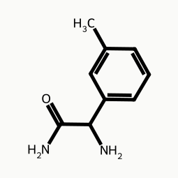 Cc1cccc(C(N)C(N)=O)c1